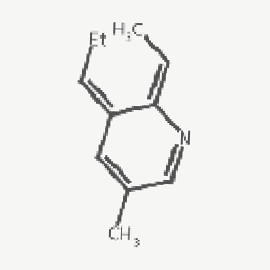 C/C=c1/ncc(C)c/c1=C/CC